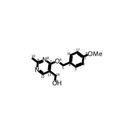 COc1ccc(COc2nc(C)ncc2CO)cc1